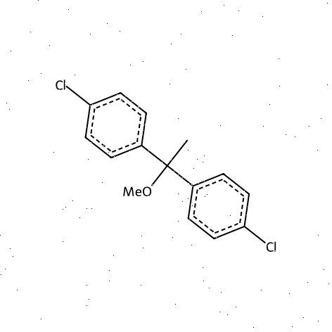 COC(C)(c1ccc(Cl)cc1)c1ccc(Cl)cc1